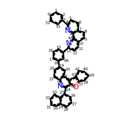 c1ccc(-c2ccc3ccc4ccc(-c5cccc(-c6ccc7nc(-c8cccc9ccccc89)c8oc9ccccc9c8c7c6)c5)nc4c3n2)cc1